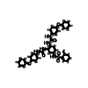 Cc1ccccc1S(=O)(=O)Nc1ccc(NC(=O)Nc2ccc(Oc3ccccc3)cc2)c(NC(=O)Nc2ccc(Oc3ccccc3)cc2)c1